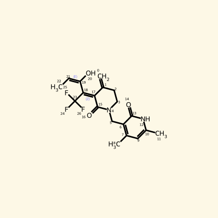 C=C1CCN(Cc2c(C)cc(C)[nH]c2=O)C(=O)/C1=C(/C(O)=C\C)C(F)(F)F